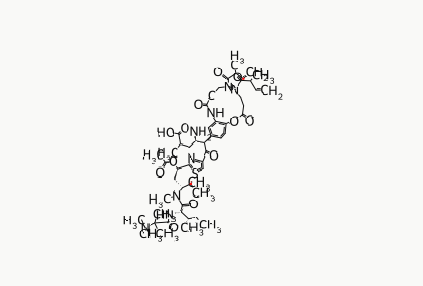 C=CC(C)C(=O)N1CCC(=O)Nc2cc(C(C(=O)c3csc([C@@H](C[C@H](C(C)C)N(C)C(=O)[C@@H](NC(=O)C(C)(C)N(C)C)[C@@H](C)CC)OC(C)=O)n3)[C@H](N)CC(C)C(=O)O)ccc2OC(=O)CCN1C(=O)C(C)C=C